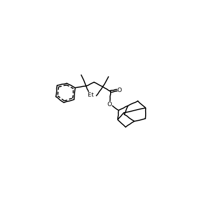 CCC(C)(CC(C)(C)C(=O)OC1C2CC3CC(C2)CC1C3)c1ccccc1